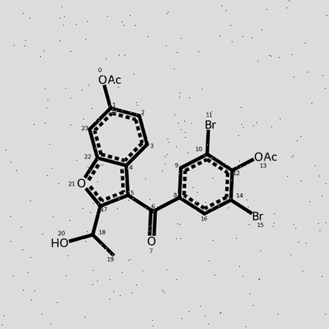 CC(=O)Oc1ccc2c(C(=O)c3cc(Br)c(OC(C)=O)c(Br)c3)c(C(C)O)oc2c1